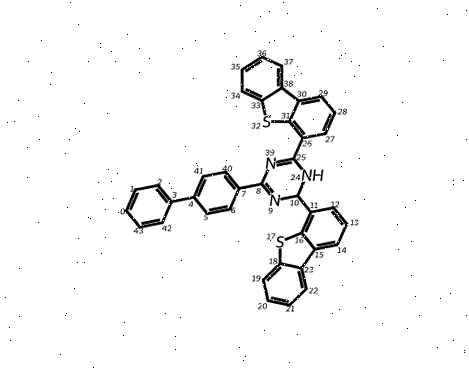 c1ccc(-c2ccc(C3=NC(c4cccc5c4sc4ccccc45)NC(c4cccc5c4sc4ccccc45)=N3)cc2)cc1